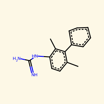 Cc1ccc(NC(=N)N)c(C)c1-c1ccccc1